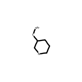 CCCSC1CCC[N]C1